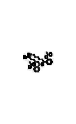 CC(=O)Oc1ccccc1C(CCCCCBr)SC(CCCCCBr)c1ccccc1OC(C)=O